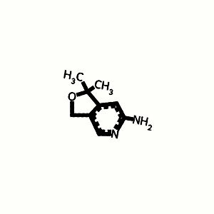 CC1(C)OCc2cnc(N)cc21